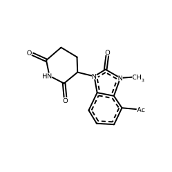 CC(=O)c1cccc2c1n(C)c(=O)n2C1CCC(=O)NC1=O